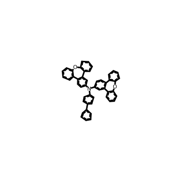 c1ccc(-c2ccc(N(c3ccc4c(c3)-c3ccccc3Oc3ccccc3-4)c3ccc4c(c3)-c3ccccc3Oc3ccccc3-4)cc2)cc1